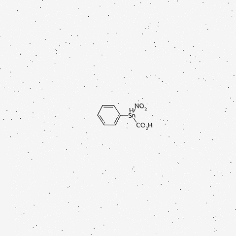 O=[C](O)[SnH]([c]1ccccc1)[N+](=O)[O-]